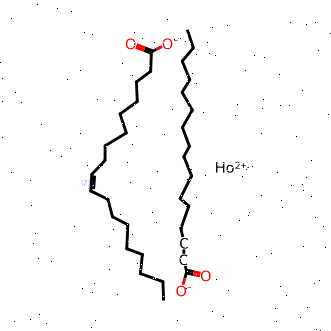 CCCCCCCC/C=C\CCCCCCCC(=O)[O-].CCCCCCCCCCCCCCCC(=O)[O-].[Ho+2]